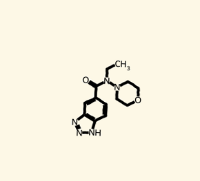 CCN(C(=O)c1ccc2[nH]nnc2c1)N1CCOCC1